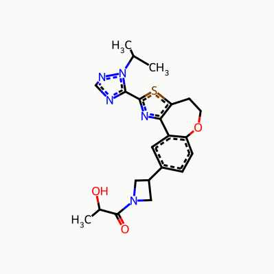 CC(O)C(=O)N1CC(c2ccc3c(c2)-c2nc(-c4ncnn4C(C)C)sc2CCO3)C1